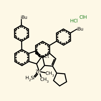 CCC1=Cc2c(-c3ccc(C(C)CC)cc3)cccc2[CH]1[Zr]([CH3])([CH3])(=[SiH2])[CH]1C(C2CCCC2)=Cc2c(-c3ccc(C(C)CC)cc3)cccc21.Cl.Cl